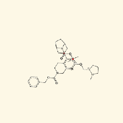 CN1CCC[C@H]1COc1nc2c(c(N3CC4CCC(C3)N4C(=O)OC(C)(C)C)n1)CCN(C(=O)OCc1ccccc1)C2